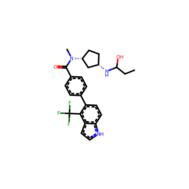 CCC(O)N[C@H]1CC[C@@H](N(C)C(=O)c2ccc(-c3ccc4[nH]ccc4c3C(F)(F)F)cc2)C1